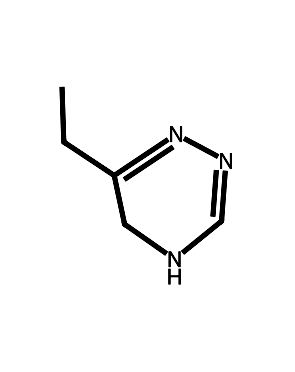 CCC1=NN=CNC1